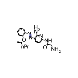 C=C(CCC)Oc1ccccc1/N=N/c1ccc(NC(=O)CN)nc1N